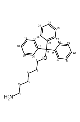 NCCCCCCOC(c1ccccc1)(c1ccccc1)c1ccccc1